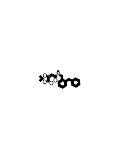 CN(Cc1ccccc1Cc1ccccc1)C(=O)/C=C1/OC(C)(C)OC1=O